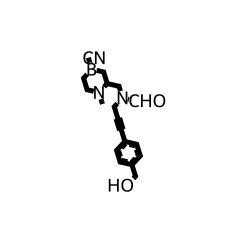 CN1CCB(C#N)CC1CN(C=O)CC#Cc1ccc(CO)cc1